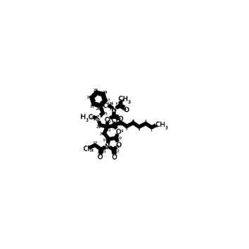 CCCCCCCC1(C)OC2OC(=O)N(C(=O)CCl)C2CC1(C[S+](C)Cc1ccccc1)OC(=O)N(Cl)C(C)=O